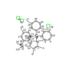 CC1=C(C)C(C)([Si](c2ccccc2)(c2cc(C)cc([Si](C)(C)C)c2)c2cc(C)ccc2C)[C]([Ti+3])=C1C.[Cl-].[Cl-].[Cl-]